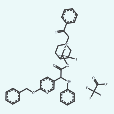 O=C(C[N+]12CCC(CC1)[C@@H](OC(=O)C(Nc1ccccc1)c1ccc(OCc3ccccc3)nc1)C2)c1ccccc1.O=C([O-])C(F)(F)F